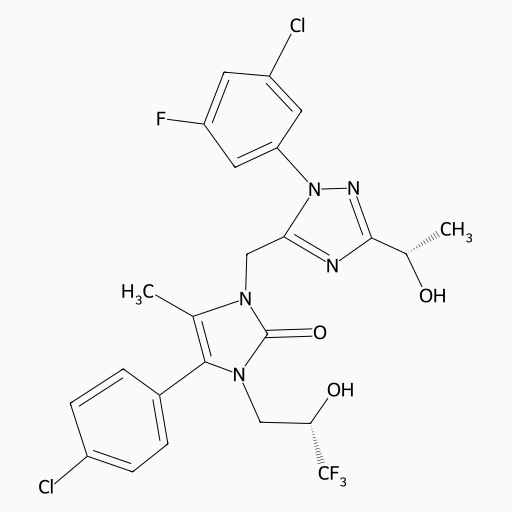 Cc1c(-c2ccc(Cl)cc2)n(C[C@H](O)C(F)(F)F)c(=O)n1Cc1nc([C@H](C)O)nn1-c1cc(F)cc(Cl)c1